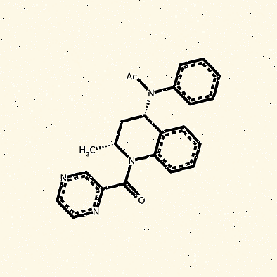 CC(=O)N(c1ccccc1)[C@H]1C[C@@H](C)N(C(=O)c2cnccn2)c2ccccc21